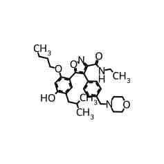 CCCCOc1cc(O)c(CC(C)C)cc1-c1onc(C(=O)NCC)c1-c1ccc(CN2CCOCC2)cc1